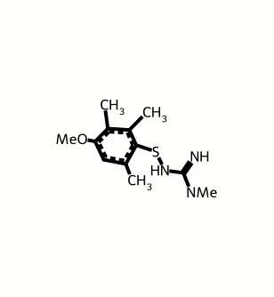 CNC(=N)NSc1c(C)cc(OC)c(C)c1C